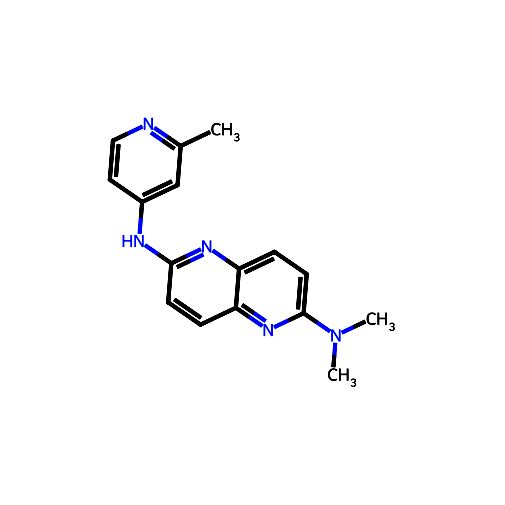 Cc1cc(Nc2ccc3nc(N(C)C)ccc3n2)ccn1